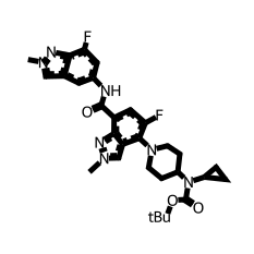 Cn1cc2cc(NC(=O)c3cc(F)c(N4CCC(N(C(=O)OC(C)(C)C)C5CC5)CC4)c4cn(C)nc34)cc(F)c2n1